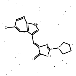 O=C1NC(N2CCCC2)=NC1=Cc1c[nH]c2ncc(Cl)cc12